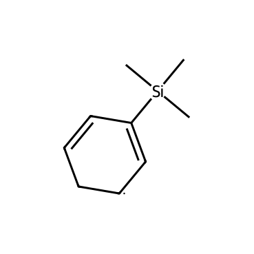 C[Si](C)(C)C1=C[CH]CC=C1